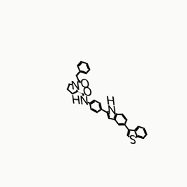 O=C(Nc1ccc(-c2cc3cc(-c4csc5ccccc45)ccc3[nH]2)cc1)[C@@H]1CCCN1C(=O)Cc1ccccc1